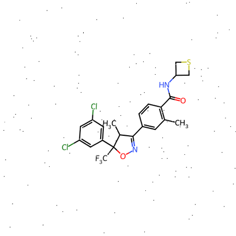 Cc1cc(C2=NOC(c3cc(Cl)cc(Cl)c3)(C(F)(F)F)C2C)ccc1C(=O)NC1CSC1